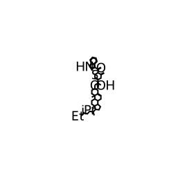 C=C1CC(C(O)OC2CCC3(C)C(=CCC4C3CCC3(C)C(C(C)CCC(CC)C(C)C)CCC43)C2)=CSC1C(=O)c1c[nH]c2ccccc12